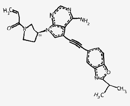 C=CC(=O)N1CC[C@H](n2cc(C#Cc3ccc4oc(C(C)C)nc4c3)c3c(N)ncnc32)C1